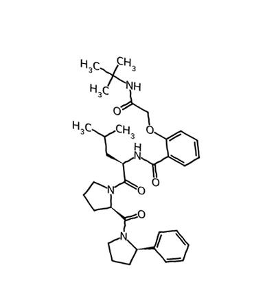 CC(C)C[C@@H](NC(=O)c1ccccc1OCC(=O)NC(C)(C)C)C(=O)N1CCC[C@@H]1C(=O)N1CCC[C@@H]1c1ccccc1